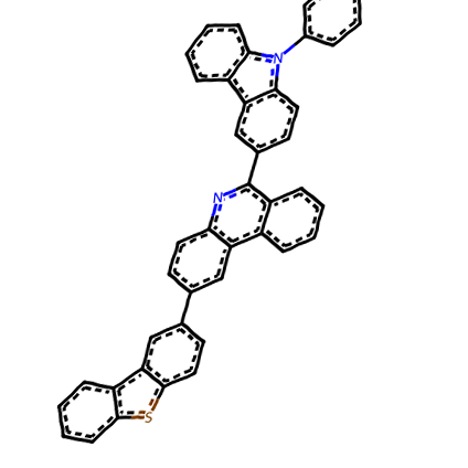 c1ccc(-n2c3ccccc3c3cc(-c4nc5ccc(-c6ccc7sc8ccccc8c7c6)cc5c5ccccc45)ccc32)cc1